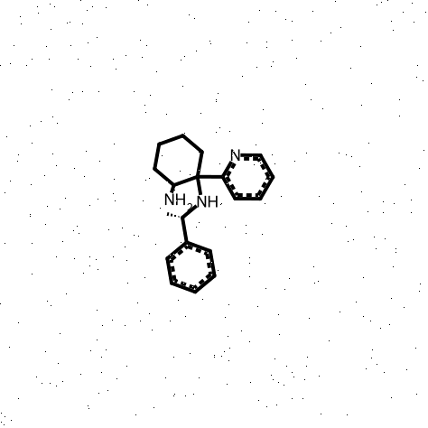 C[C@H](NC1(c2ccccn2)CCCCC1N)c1ccccc1